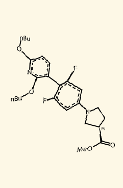 CCCCOc1ccc(-c2c(F)cc(N3CC[C@@H](C(=O)OC)C3)cc2F)c(OCCCC)n1